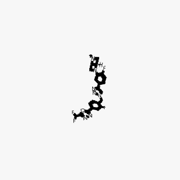 CN1C[C@@H]2C1CN2c1cc(-c2cn(Cc3ccc(-c4nnc(C(F)F)o4)cc3F)nn2)ccc1F